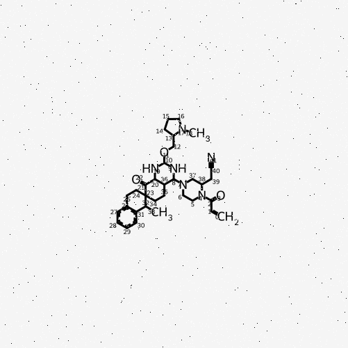 C=CC(=O)N1CCN(C2NC(OCC3CCCN3C)NC3C(=O)C4(CCc5ccccc5C4C)CCC32)CC1CC#N